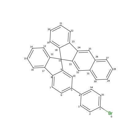 Brc1ccc(-c2ccc3c(c2)C2(c4ccccc4-3)c3ccccc3-c3cc4ccccc4cc32)cc1